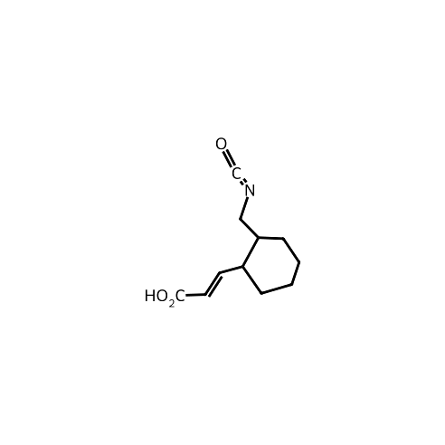 O=C=NCC1CCCCC1C=CC(=O)O